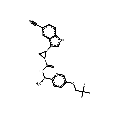 C[C@@H](NC(=O)[C@@H]1C[C@H]1c1c[nH]c2ccc(C#N)cc12)c1ccc(OCC(F)(F)F)cn1